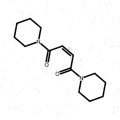 O=C(/C=C\C(=O)N1CCCCC1)N1CCCCC1